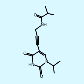 CC(C)C(=O)NCC#Cc1cn(C(C)C)c(=O)[nH]c1=O